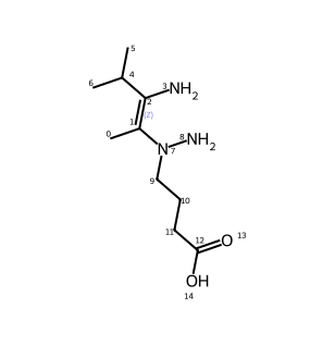 C/C(=C(/N)C(C)C)N(N)CCCC(=O)O